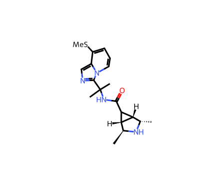 CSc1cccn2c(C(C)(C)NC(=O)C3[C@@H]4[C@H]3[C@H](C)N[C@H]4C)ncc12